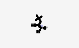 CC/[P+]([O-])=C(\O)C[N+](C)(C)C